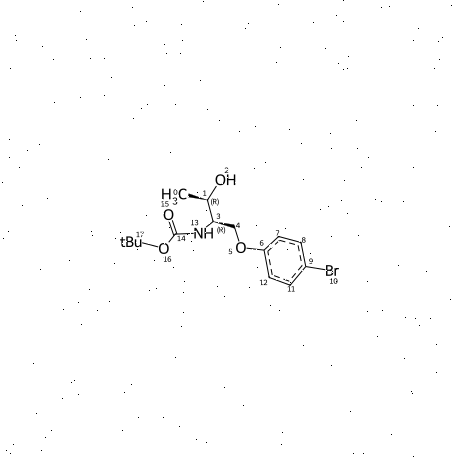 C[C@@H](O)[C@@H](COc1ccc(Br)cc1)NC(=O)OC(C)(C)C